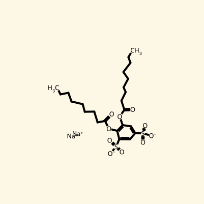 CCCCCCCCC(=O)Oc1cc(S(=O)(=O)[O-])cc(S(=O)(=O)[O-])c1OC(=O)CCCCCCCC.[Na+].[Na+]